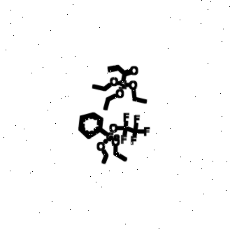 C=CC(=O)[Si](OCC)(OCC)OCC.CC[O][Ge]([O]CC)([O]C(F)(F)C(F)(F)F)[c]1ccccc1